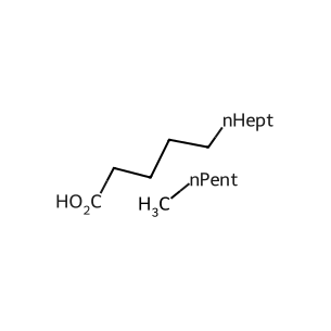 CCCCCC.CCCCCCCCCCCC(=O)O